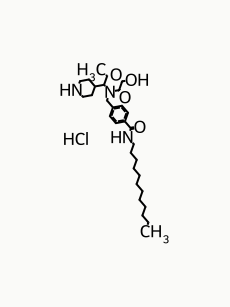 CCCCCCCCCCCCNC(=O)c1ccc(CN(C(=O)C(=O)O)C(CC)C2CCNCC2)cc1.Cl